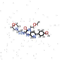 CCOCCn1c(=O)c(NCCN2CCOCC2)nc2cnc(-c3ccc(OC)cc3)cc21